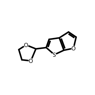 c1cc2cc(C3OCCO3)sc2o1